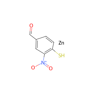 O=Cc1ccc(S)c([N+](=O)[O-])c1.[Zn]